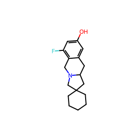 Oc1cc(F)c2c(c1)CC1CC3(CCCCC3)CN1C2